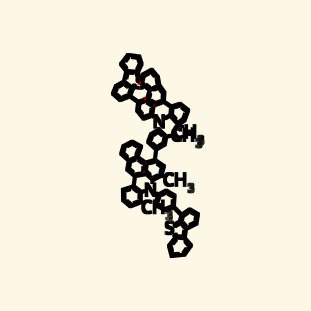 Cc1cc(-c2ccc(N(c3ccc(-c4cccc5c4sc4ccccc45)cc3)c3c(C)cccc3-c3ccc4ccccc4c3)c(C)c2)ccc1N(c1ccc(-c2cccc3c2sc2ccccc23)cc1)c1c(C)cccc1-c1ccc2ccccc2c1